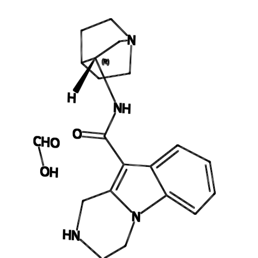 O=C(N[C@H]1CN2CCC1CC2)c1c2n(c3ccccc13)CCNC2.O=CO